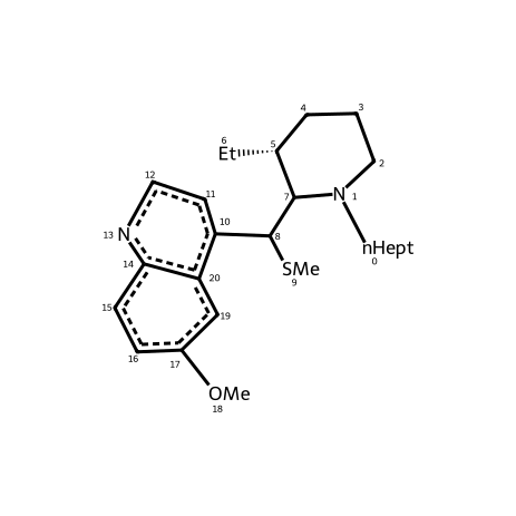 CCCCCCCN1CCC[C@@H](CC)C1C(SC)c1ccnc2ccc(OC)cc12